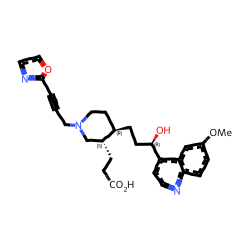 COc1ccc2nccc([C@H](O)CC[C@@H]3CCN(CC#Cc4ncco4)C[C@H]3CCC(=O)O)c2c1